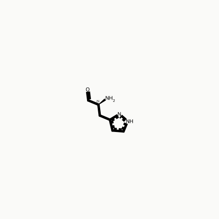 N[C@H](C=O)Cc1cc[nH]n1